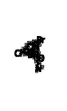 CN(C)CCCC(=O)N1CCC(C2c3ncc(Br)cc3CCc3cc(Cl)cc(Br)c32)CC1